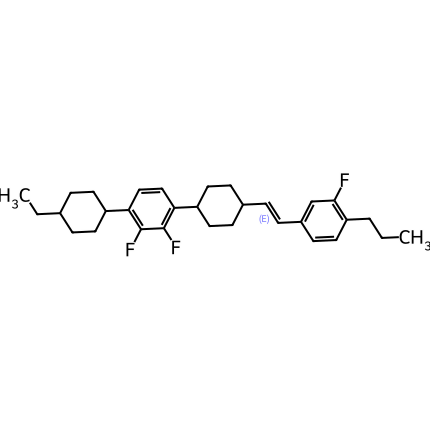 CCCc1ccc(/C=C/C2CCC(c3ccc(C4CCC(CC)CC4)c(F)c3F)CC2)cc1F